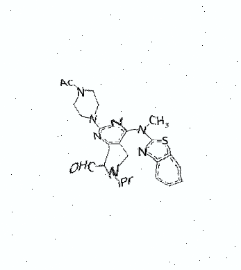 CC(=O)N1CCN(c2nc3c(c(N(C)c4nc5ccccc5s4)n2)CN(C(C)C)C3C=O)CC1